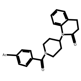 CC(=O)c1ccc(C(=O)N2CCC(N3C(=O)CCc4ccccc43)CC2)cc1